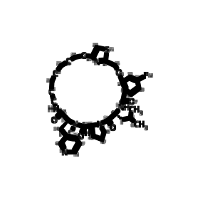 CC(C)C[C@H]1NC(=O)c2ccc(F)cc2OCc2nc(cs2)CCCCCCCCNC(=O)[C@H](Cc2cccnc2)N(C)C(=O)[C@H]2CCCN2C1=O